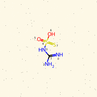 N=C(N)NS(=O)(O)=S